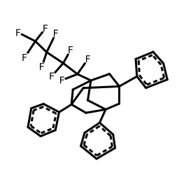 FC(F)(F)C(F)(F)C(F)(F)C(F)(F)C12CC3(c4ccccc4)CC(c4ccccc4)(CC(c4ccccc4)(C3)C1)C2